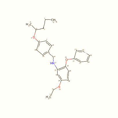 CCCC(C)Oc1ccc(CNc2cc(OCC)ccc2Oc2ccccc2)cc1